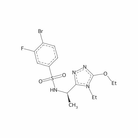 CCOc1nnc([C@@H](C)NS(=O)(=O)c2ccc(Br)c(F)c2)n1CC